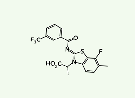 Cc1ccc2c(sc(=NC(=O)c3cccc(C(F)(F)F)c3)n2C(C)C(=O)O)c1F